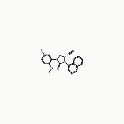 COc1ccc(F)cc1N1C[C@H](C#N)N(c2cncc3ccccc23)C1=O